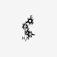 Cc1nc(N)c2nnn(C[C@@H]3CN(Cc4cc(F)cc(F)c4)CCO3)c2n1